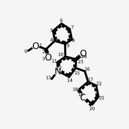 COC(=O)c1ccccc1-c1cn(C)cc(Cc2ccccc2)c1=O